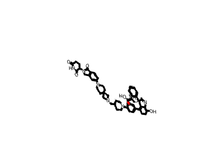 N[C@@H](C[C@]1(c2ccccc2)C=Nc2c(O)ccc(-c3ccc(N4CCC(CN5CC6(CCN(c7ccc8c(c7)CN(C7CCC(=O)NC7=O)C8=O)CC6)C5)CC4)cc3)c21)C(=O)O